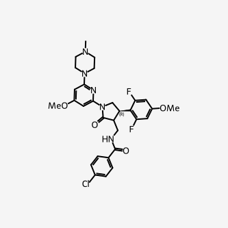 COc1cc(N2CCN(C)CC2)nc(N2C[C@@H](c3c(F)cc(OC)cc3F)C(CNC(=O)c3ccc(Cl)cc3)C2=O)c1